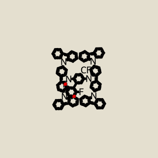 Fc1cccc(F)c1-c1cc(-n2c3cc(-n4c5ccccc5c5ccccc54)ccc3c3ccc(-n4c5ccccc5c5ccccc54)cc32)c(C(F)(F)F)cc1-n1c2cc(-n3c4ccccc4c4ccccc43)ccc2c2ccc(-n3c4ccccc4c4ccccc43)cc21